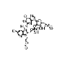 Nc1nc2c(ncn2[C@@H]2O[C@H](COPS)[C@@H](O)[C@H]2OP(=O)(S)OCc2nc3cc(Cl)cnc3n2CCOC=O)c(=O)[nH]1